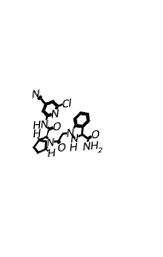 N#Cc1cc(Cl)nc(NC(=O)[C@@H]2[C@H]3CC[C@H](C3)N2C(=O)CN2NC(C(N)=O)c3ccccc32)c1